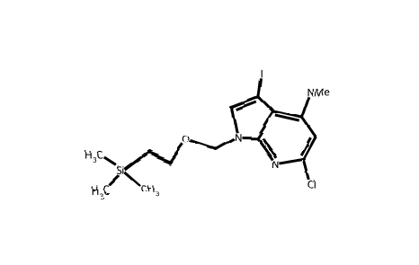 CNc1cc(Cl)nc2c1c(I)cn2COCC[Si](C)(C)C